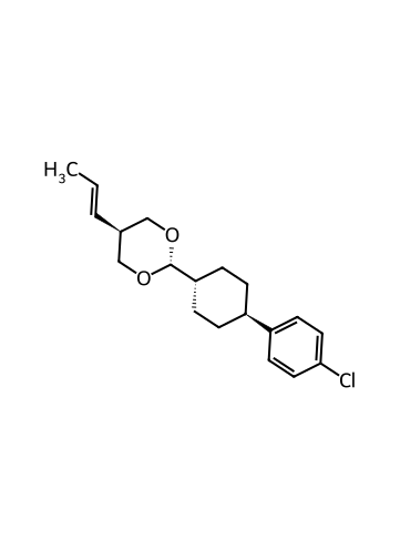 CC=C[C@H]1CO[C@H]([C@H]2CC[C@H](c3ccc(Cl)cc3)CC2)OC1